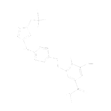 CNC(=O)c1cc(CCc2cnc(Nc3cnn(CC(F)(F)F)c3)nc2)c(F)c(OC)c1